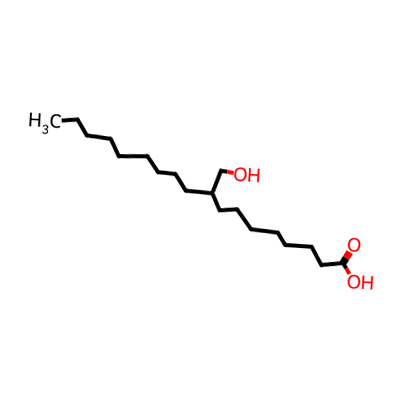 CCCCCCCCCC(CO)CCCCCCCC(=O)O